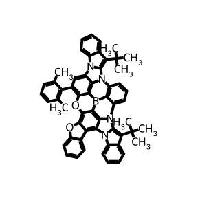 Cc1cccc(C)c1-c1cc2c3c4c1Oc1c5c6c(c7c1oc1ccccc17)n1c7ccccc7c(C(C)(C)C)c1n6-c1cccc(c1B45)-n3c1c(C(C)(C)C)c3ccccc3n21